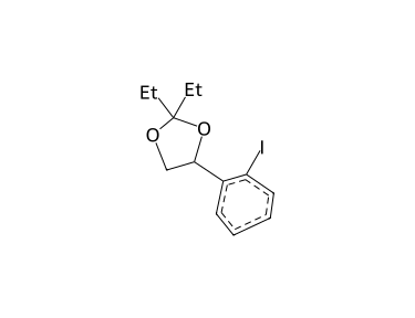 CCC1(CC)OCC(c2ccccc2I)O1